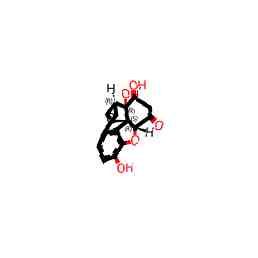 O=C1CC(O)[C@@]2(O)[C@@H]3CCC[C@@]24c2c(ccc(O)c2O[C@@H]14)C3